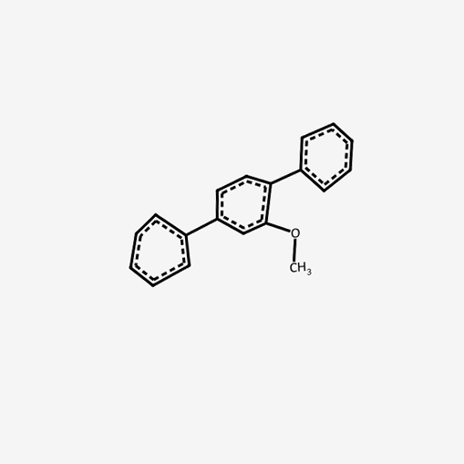 COc1cc(-c2ccccc2)ccc1-c1ccccc1